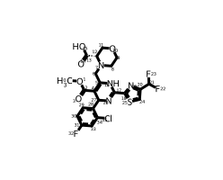 COC(=O)C1=C(CN2CCOC[C@H]2C(=O)O)NC(c2nc(C(F)F)cs2)=NC1c1ccc(F)cc1Cl